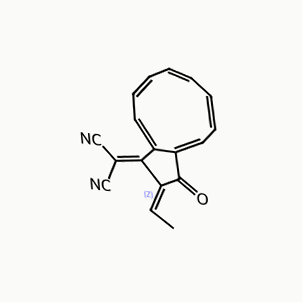 C/C=C1\C(=O)c2ccccccccc2C1=C(C#N)C#N